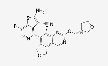 N#Cc1c(N)sc2c(F)cnc(-c3c4c(c5cnc(OC[C@@H]6CCOC6)nc5c3F)COC4)c12